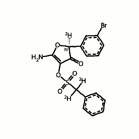 [2H]C([2H])(c1ccccc1)S(=O)(=O)OC1=C(N)O[C@@]([2H])(c2cccc(Br)c2)C1=O